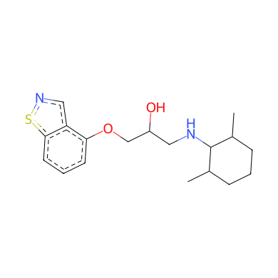 CC1CCCC(C)C1NCC(O)COc1cccc2sncc12